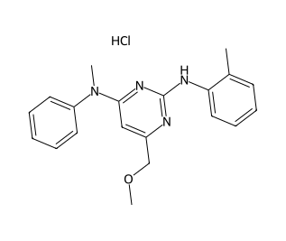 COCc1cc(N(C)c2ccccc2)nc(Nc2ccccc2C)n1.Cl